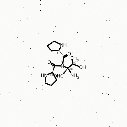 C[C@@H](O)[C@@](N)(C=O)N(C(=O)[C@@H]1CCCN1)C(=O)[C@H]1CCCN1